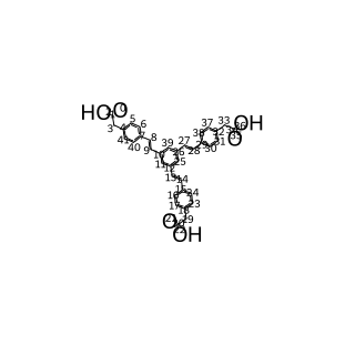 O=C(O)Cc1ccc(/C=C/c2cc(/C=C/c3ccc(CC(=O)O)cc3)cc(/C=C/c3ccc(CC(=O)O)cc3)c2)cc1